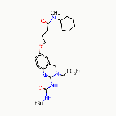 CCOC(=O)CN1Cc2cc(OCCCC(=O)N(C)C3CCCCC3)ccc2N=C1NC(=O)NC(C)(C)C